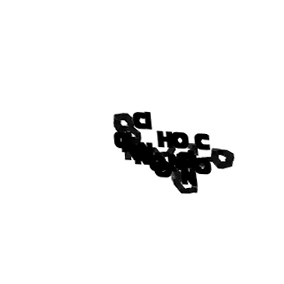 O=C(O)CC(NC(=O)[C@@H]1CCCCN1C(=O)OCc1ccccc1)C(=O)Cn1nnnc1Cc1c(Cl)cccc1Cl